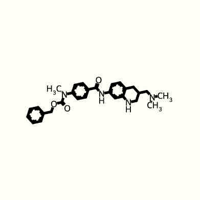 CN(C)CC1CNc2cc(NC(=O)c3ccc(N(C)C(=O)OCc4ccccc4)cc3)ccc2C1